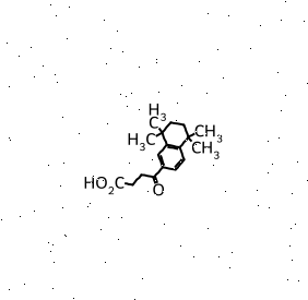 CC1(C)CCC(C)(C)c2cc(C(=O)CCC(=O)O)ccc21